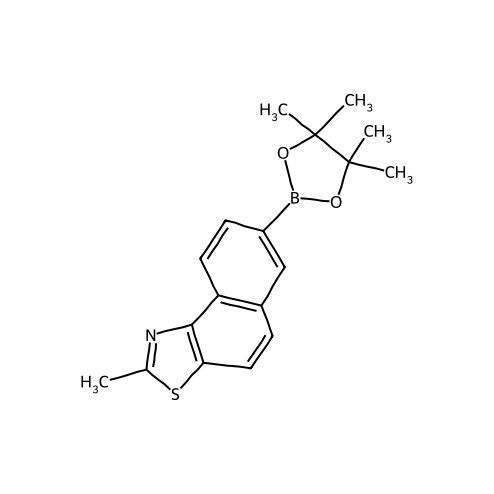 Cc1nc2c(ccc3cc(B4OC(C)(C)C(C)(C)O4)ccc32)s1